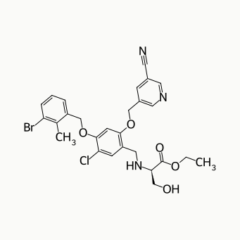 CCOC(=O)[C@@H](CO)NCc1cc(Cl)c(OCc2cccc(Br)c2C)cc1OCc1cncc(C#N)c1